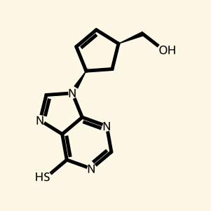 OC[C@@H]1C=C[C@H](n2cnc3c(S)ncnc32)C1